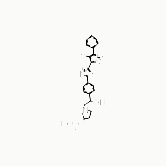 CCCc1c(-c2nc(-c3ccc(C(O)CN4CCC(C(=O)O)C4)cc3)no2)noc1-c1ccccc1